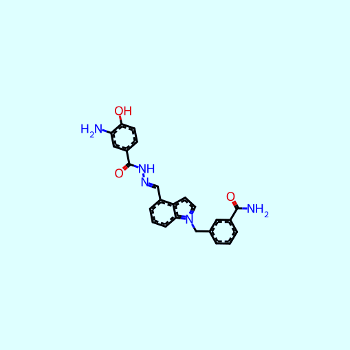 NC(=O)c1cccc(Cn2ccc3c(/C=N/NC(=O)c4ccc(O)c(N)c4)cccc32)c1